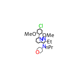 CCCN(c1c(CC)nn2c(-c3c(OC)cc(Cl)cc3OC)cccc12)C1CCOCC1